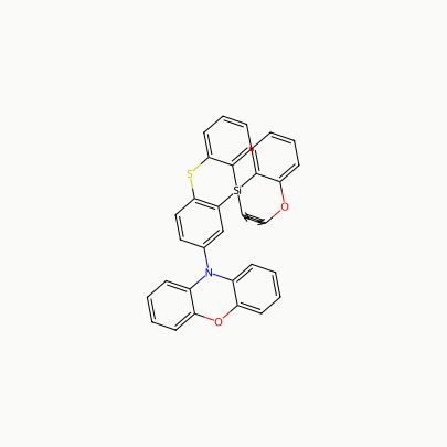 c1ccc2c(c1)Oc1ccccc1N2c1ccc2c(c1)[Si]1(c3ccccc3Oc3ccccc31)c1ccccc1S2